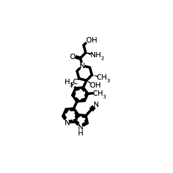 Cc1cc(-c2ccnc3[nH]cc(C#N)c23)cc(F)c1[C@@]1(O)[C@H](C)CN(C(=O)[C@H](N)CO)C[C@@H]1C